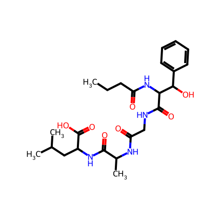 CCCC(=O)NC(C(=O)NCC(=O)NC(C)C(=O)NC(CC(C)C)C(=O)O)C(O)c1ccccc1